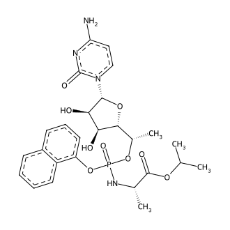 CC(C)OC(=O)[C@H](C)NP(=O)(Oc1cccc2ccccc12)O[C@@H](C)[C@H]1O[C@@H](n2ccc(N)nc2=O)[C@H](O)[C@@H]1O